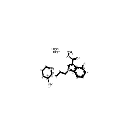 COC(=O)c1cn(CCC[C@H]2NCCC[C@@H]2O)c2cccc(Cl)c12.Cl.Cl